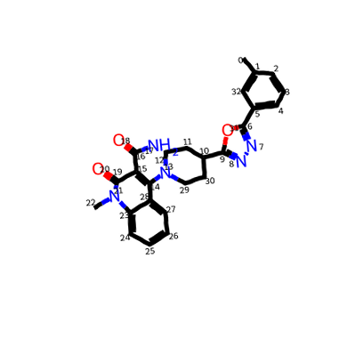 Cc1cccc(-c2nnc(C3CCN(c4c(C(N)=O)c(=O)n(C)c5ccccc45)CC3)o2)c1